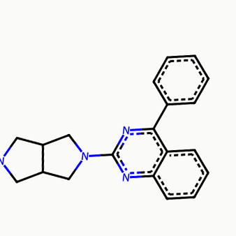 c1ccc(-c2nc(N3CC4CNCC4C3)nc3ccccc23)cc1